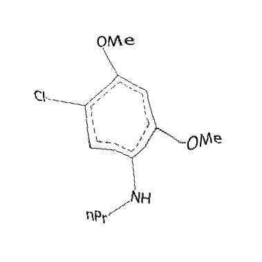 CCCNc1cc(Cl)c(OC)cc1OC